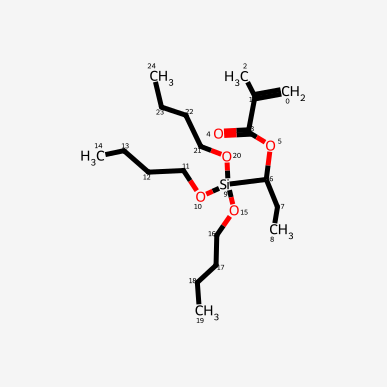 C=C(C)C(=O)OC(CC)[Si](OCCCC)(OCCCC)OCCCC